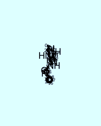 Cc1cc(Nc2nc(NCC3CC(c4ccccc4)=NO3)ncc2Br)[nH]n1